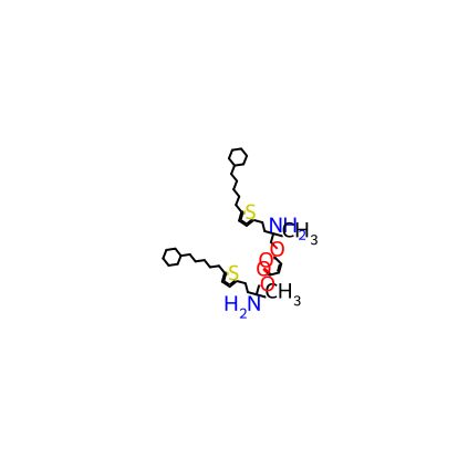 CCC(N)(CCc1ccc(CCCCCC2CCCCC2)s1)COC(=O)/C=C\C(=O)OCC(N)(CC)CCc1ccc(CCCCCC2CCCCC2)s1